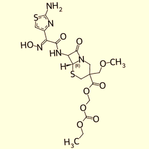 CCOC(=O)OCOC(=O)C1(COC)CS[C@@H]2C(NC(=O)C(=NO)c3csc(N)n3)C(=O)N2C1